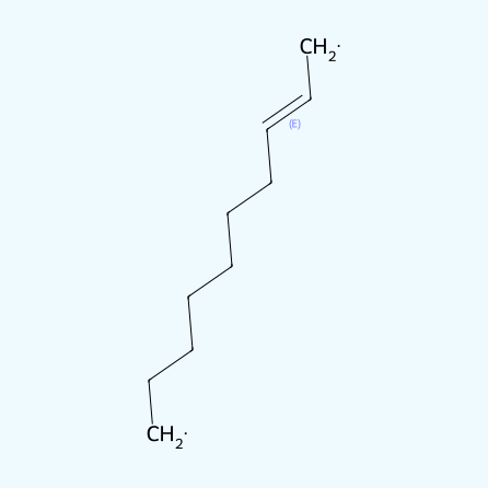 [CH2]/C=C/CCCCCC[CH2]